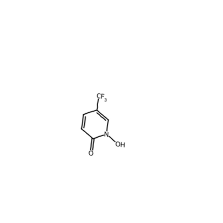 O=c1ccc(C(F)(F)F)cn1O